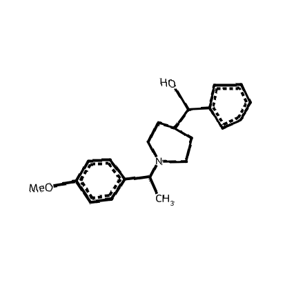 COc1ccc(C(C)N2CCC(C(O)c3ccccc3)CC2)cc1